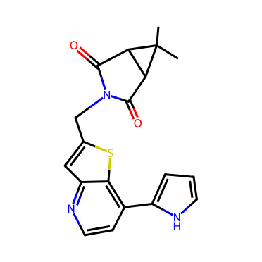 CC1(C)C2C(=O)N(Cc3cc4nccc(-c5ccc[nH]5)c4s3)C(=O)C21